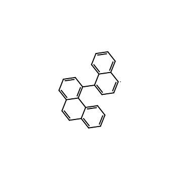 [c]1ccc(-c2cccc3ccc4ccccc4c23)c2ccccc12